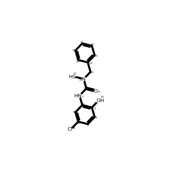 O=C(Nc1cc(Cl)ccc1O)N(S)Cc1ccccc1